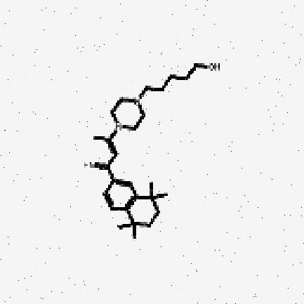 C/C(=C\C(=N)c1ccc2c(c1)C(C)(C)CCC2(C)C)N1CCN(CCCCCO)CC1